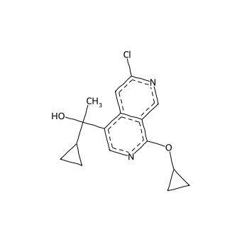 CC(O)(c1cnc(OC2CC2)c2cnc(Cl)cc12)C1CC1